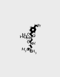 CC(C)Cc1ccc(C(C)C(=O)NCC(=O)NCCN(C)C)cc1.Cl